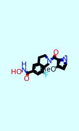 COc1ccn(C)c1C(=O)N1CCc2cc(C(=O)NO)cc(F)c2C1